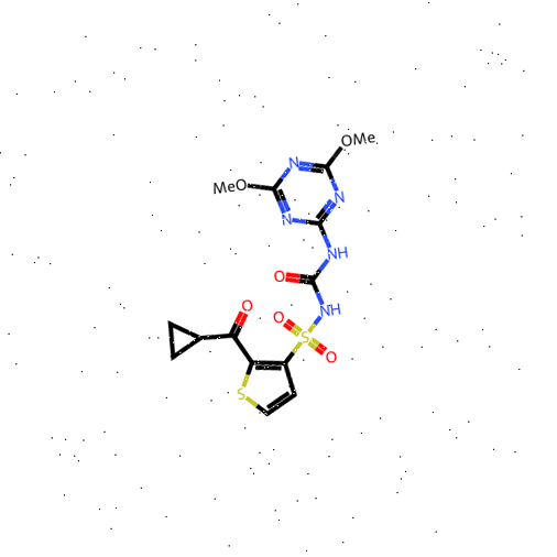 COc1nc(NC(=O)NS(=O)(=O)c2ccsc2C(=O)C2CC2)nc(OC)n1